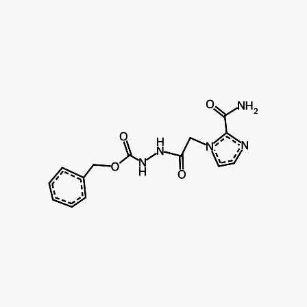 NC(=O)c1nccn1CC(=O)NNC(=O)OCc1ccccc1